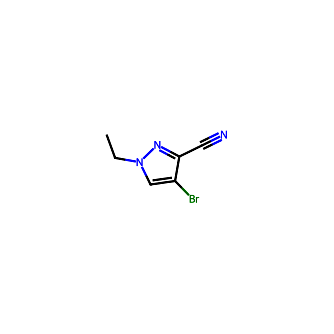 CCn1cc(Br)c(C#N)n1